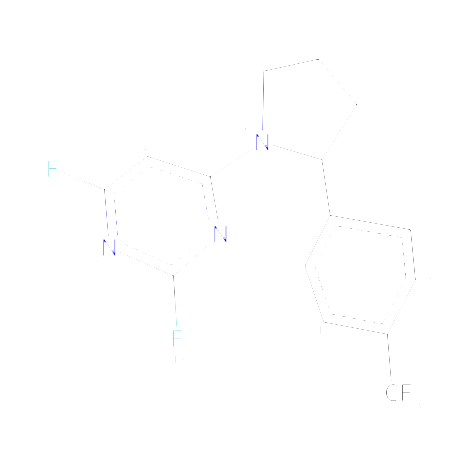 Fc1cc(N2CCCC2c2ccc(C(F)(F)F)cc2)nc(F)n1